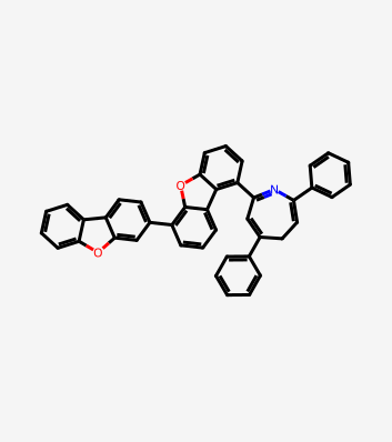 C1=C(c2ccccc2)CC=C(c2ccccc2)N=C1c1cccc2oc3c(-c4ccc5c(c4)oc4ccccc45)cccc3c12